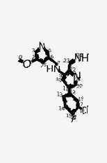 COc1cncc(CNc2cc(-c3ccc(F)c(Cl)c3)cnc2C=N)c1